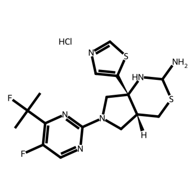 CC(C)(F)c1nc(N2C[C@H]3CSC(N)N[C@@]3(c3cncs3)C2)ncc1F.Cl